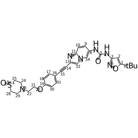 CC(C)(C)c1cc(NC(=O)Nc2ccc3nc(C#Cc4ccc(OCCN5CC[S+]([O-])CC5)cc4)cn3c2)no1